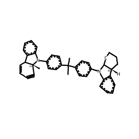 CC(C)(c1ccc(N2c3ccccc3[C@H]3CCCCC32)cc1)c1ccc(N2c3ccccc3C3C=CC#C[C@]32C)cc1